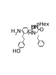 CCCCCCNC(=O)[C@H](CCc1ccccc1)NC(=O)c1ccc(N)c(CCc2ccc(O)cc2)c1